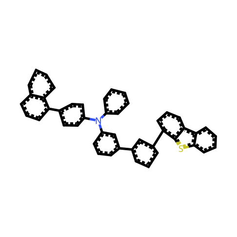 c1ccc(N(c2ccc(-c3cccc4ccccc34)cc2)c2cccc(-c3cccc(-c4cccc5c4sc4ccccc45)c3)c2)cc1